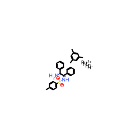 Cc1cc(C)cc(C)c1.Cc1ccc(S(=O)(=O)N[C@@H](c2ccccc2)[C@@H](N)c2ccccc2)cc1.[H-].[H-].[H-].[Ru+3]